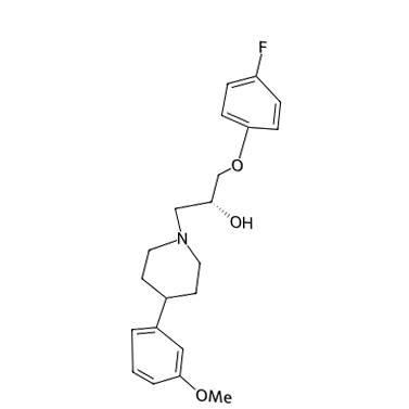 COc1cccc(C2CCN(C[C@@H](O)COc3ccc(F)cc3)CC2)c1